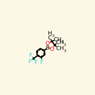 CC1(C)OB(c2ccc(C(F)(F)F)c(F)c2)OC1(C)C